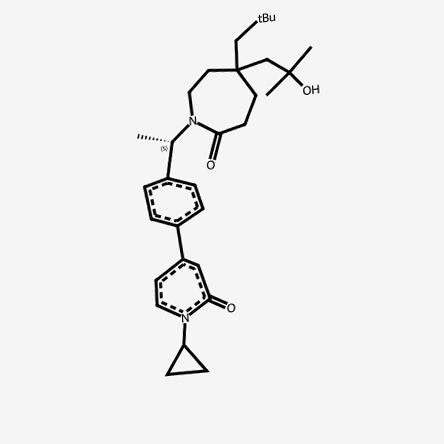 C[C@@H](c1ccc(-c2ccn(C3CC3)c(=O)c2)cc1)N1CCC(CC(C)(C)C)(CC(C)(C)O)CCC1=O